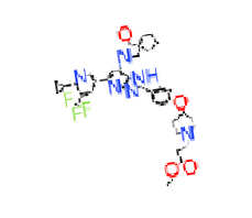 CCOC(=O)CCN1CCC(Oc2ccc(-c3nc4nc(-c5cnc(C6CC6)c(C(F)(F)F)c5)cc(N(C)CC5(COC)CCCC5)c4[nH]3)cc2)CC1